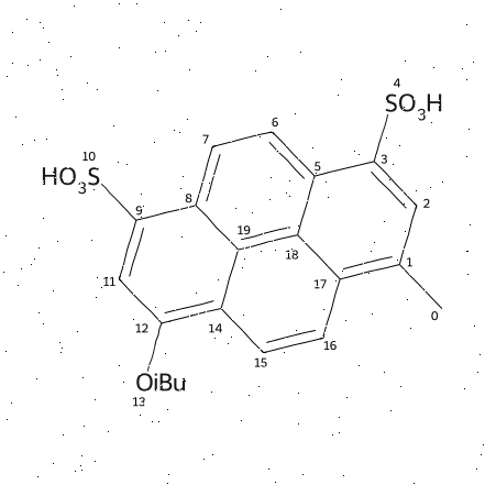 Cc1cc(S(=O)(=O)O)c2ccc3c(S(=O)(=O)O)cc(OCC(C)C)c4ccc1c2c43